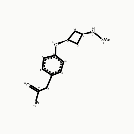 CSN[C@H]1C[C@@H](Oc2ccc(CC(=O)C(C)C)cc2)C1